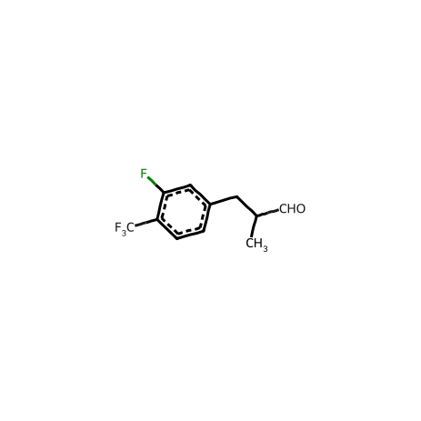 CC(C=O)Cc1ccc(C(F)(F)F)c(F)c1